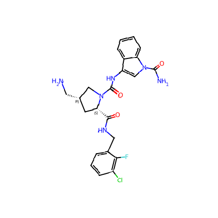 NC[C@H]1C[C@@H](C(=O)NCc2cccc(Cl)c2F)N(C(=O)Nc2cn(C(N)=O)c3ccccc23)C1